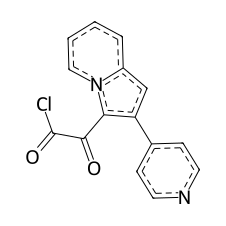 O=C(Cl)C(=O)c1c(-c2ccncc2)cc2ccccn12